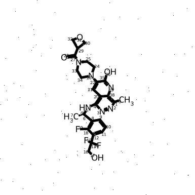 Cc1nnc(N[C@H](C)c2cccc(C(F)(F)CO)c2F)c2cc(N3CCN(C(=O)C4COC4)CC3)c(O)nc12